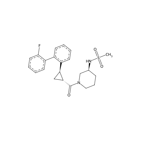 CS(=O)(=O)N[C@H]1CCCN(C(=O)[C@@H]2C[C@H]2c2ccccc2-c2ccccc2F)C1